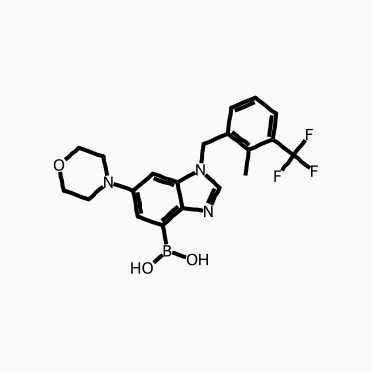 Cc1c(Cn2cnc3c(B(O)O)cc(N4CCOCC4)cc32)cccc1C(F)(F)F